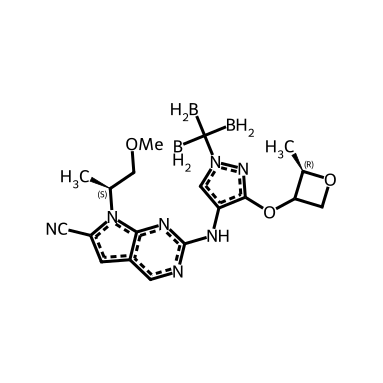 BC(B)(B)n1cc(Nc2ncc3cc(C#N)n([C@@H](C)COC)c3n2)c(OC2CO[C@@H]2C)n1